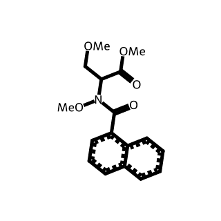 COCC(C(=O)OC)N(OC)C(=O)c1cccc2ccccc12